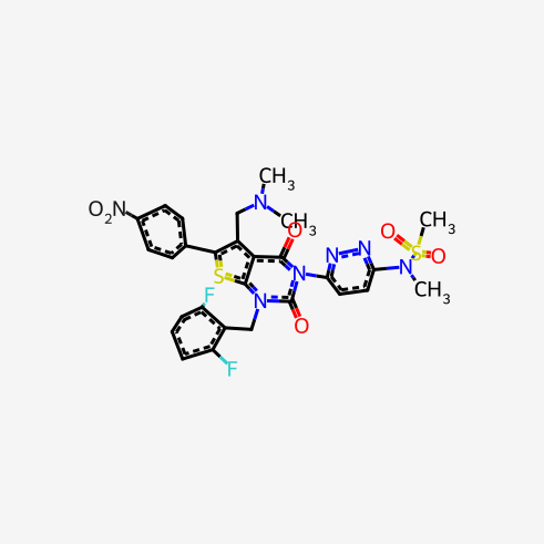 CN(C)Cc1c(-c2ccc([N+](=O)[O-])cc2)sc2c1c(=O)n(-c1ccc(N(C)S(C)(=O)=O)nn1)c(=O)n2Cc1c(F)cccc1F